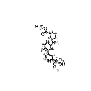 COC(=O)C1CCCC(Nc2ncc(F)c(-c3ccnc(C(C)(C)O)c3)n2)C1